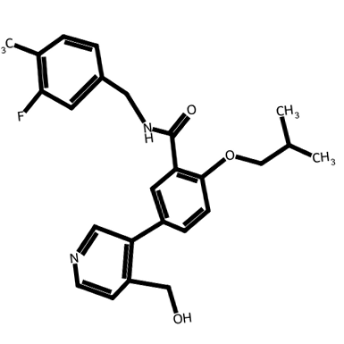 Cc1ccc(CNC(=O)c2cc(-c3cnccc3CO)ccc2OCC(C)C)cc1F